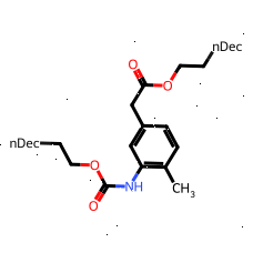 CCCCCCCCCCCCOC(=O)Cc1ccc(C)c(NC(=O)OCCCCCCCCCCCC)c1